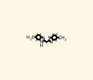 Cc1ccc2c(c1)N/C(=C/c1nc3cc(C)ccc3s1)S2